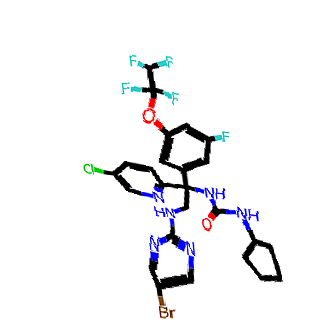 O=C(NC1CCCC1)NC(CNc1ncc(Br)cn1)(c1cc(F)cc(OC(F)(F)C(F)F)c1)c1ccc(Cl)cn1